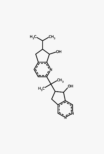 CC(C)C1Cc2ccc(C(C)(C)C3Cc4cnncc4C3O)nc2C1O